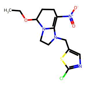 CCOC1CCC([N+](=O)[O-])=C2N(Cc3cnc(Cl)s3)CCN21